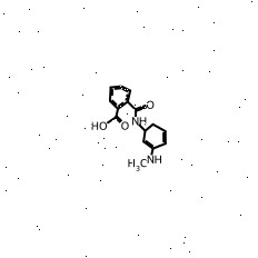 CNC1=CC(NC(=O)c2ccccc2C(=O)O)CC=C1